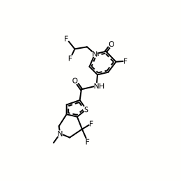 CN1Cc2cc(C(=O)Nc3cc(F)c(=O)n(CC(F)F)c3)sc2C(F)(F)C1